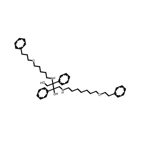 OCC(NCCCCCOCCCc1ccccc1)(c1ccccc1)C(O)(CNCCCCCCCOCCc1ccccc1)c1ccccc1